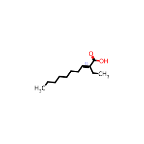 CCCCCCC/C=C(\CC)C(=O)O